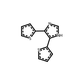 c1csc(-c2nc[nH]c2-c2cccs2)c1